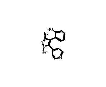 CCc1nn(C(C)C)c(-c2ccncc2)c1-c1ccccc1O